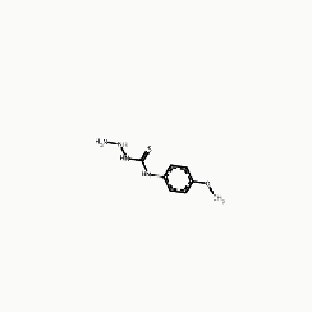 COc1ccc(NC(=S)NNN)cc1